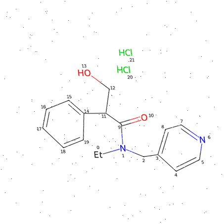 CCN(Cc1ccncc1)C(=O)C(CO)c1ccccc1.Cl.Cl